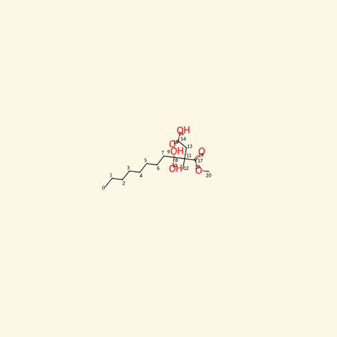 CCCCCCCCC(O)(O)C(C)(CC(=O)O)C(=O)OC